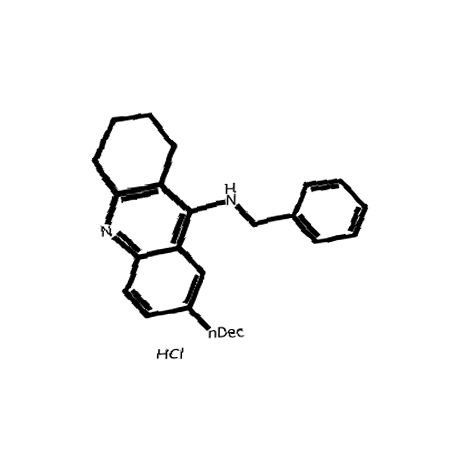 CCCCCCCCCCc1ccc2nc3c(c(NCc4ccccc4)c2c1)CCCC3.Cl